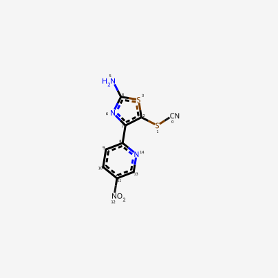 N#CSc1sc(N)nc1-c1ccc([N+](=O)[O-])cn1